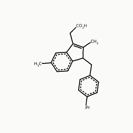 CC1=C(CC(=O)O)c2cc(C)ccc2C1Cc1ccc(C(C)C)cc1